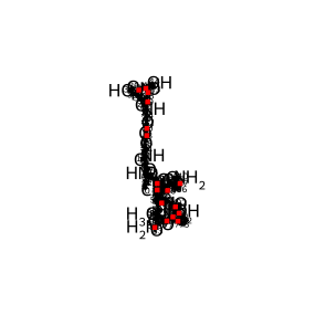 CCCC[C@H](NC(=O)CCC(=O)NCCCOCCOCCOCCCNC(=O)CN1CCN(CC(=O)O)CCN(CC(=O)O)CC1)C(=O)N=CC(CSCc1cccc(CSCC(NC(=O)[C@H](Cc2ccccc2)NC(=O)[C@H](CCC(N)=O)NC(=O)[C@@H](C)CC)C(=O)O)c1)C(=O)N1CCC[C@H]1C(=O)N1CCC[C@H]1C(N)=O